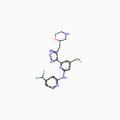 Cc1cc(Nc2cc(C(F)F)ccn2)nc(-c2nn[nH]c2CC2CNCCO2)c1